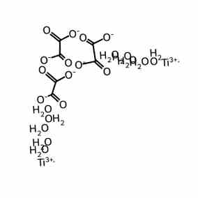 O.O.O.O.O.O.O.O.O.O.O=C([O-])C(=O)[O-].O=C([O-])C(=O)[O-].O=C([O-])C(=O)[O-].[Ti+3].[Ti+3]